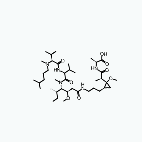 CC[C@H](C)[C@@H]([C@@H](CC(=O)NCCC[C@@H]1C[C@@]1(OC)[C@@H](C)C(=O)N[C@@H](C)C(=O)O)OC)N(C)C(=O)[C@@H](NC(=O)[C@H](C(C)C)N(C)CCCC(C)C)C(C)C